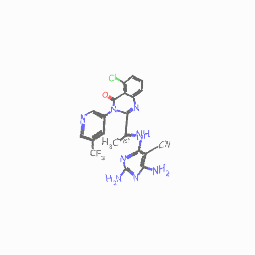 C[C@H](Nc1nc(N)nc(N)c1C#N)c1nc2cccc(Cl)c2c(=O)n1-c1cncc(C(F)(F)F)c1